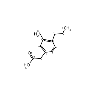 CCCc1ccc(CC(=O)O)cc1N